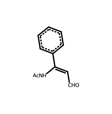 CC(=O)NC(=CC=O)c1ccccc1